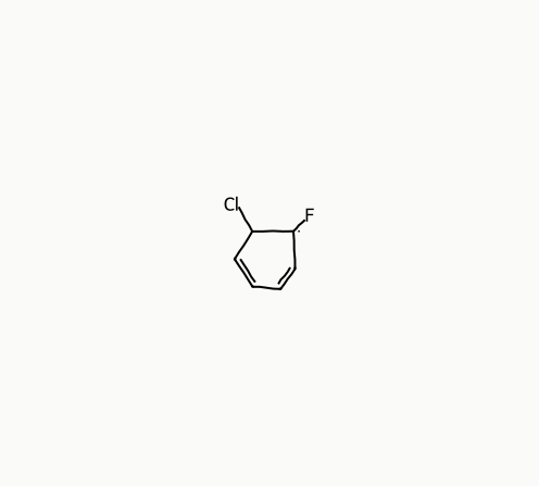 F[C]1C=CC=CC1Cl